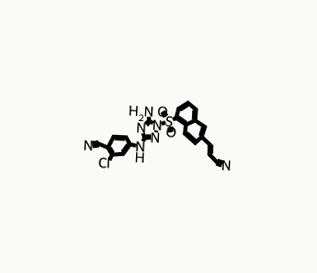 N#C/C=C/c1ccc2c(S(=O)(=O)n3nc(Nc4ccc(C#N)c(Cl)c4)nc3N)cccc2c1